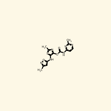 Cc1cc(Nc2sc(C)nc2OC(=O)Nc2ccnc(C)n2)on1